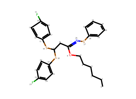 CCCCCCO/C(CC(Sc1ccc(F)cc1)Sc1ccc(F)cc1)=N\Sc1ccccc1